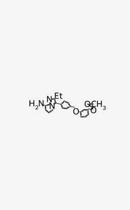 CCc1nc2c(N)cccn2c1-c1ccc(COc2cccc(S(C)(=O)=O)c2)cc1